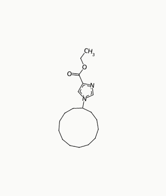 CCOC(=O)c1cn(C2CCCCCCCCCCCC2)cn1